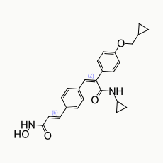 O=C(/C=C/c1ccc(/C=C(\C(=O)NC2CC2)c2ccc(OCC3CC3)cc2)cc1)NO